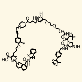 Cc1ncsc1-c1ccc(CNC(=O)[C@@H]2C[C@@H](O)CN2C(=O)[C@@H](NC(=O)COCCOCCOCC2=CN(CCCC(=O)N3CCN(CC#Cc4ccc(OCCCc5sc(N6CCc7cccc(C(=O)Nc8nc9ccccc9s8)c7C6)nc5C(=O)O)c(F)c4)CC3)NN2)C(C)(C)C)cc1